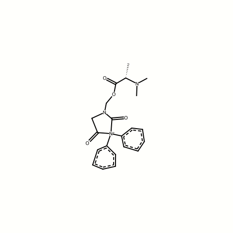 C[C@@H](C(=O)OCN1CC(=O)[N+](c2ccccc2)(c2ccccc2)C1=O)N(C)C